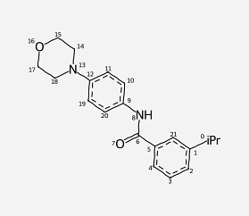 CC(C)c1cccc(C(=O)Nc2ccc(N3CCOCC3)cc2)c1